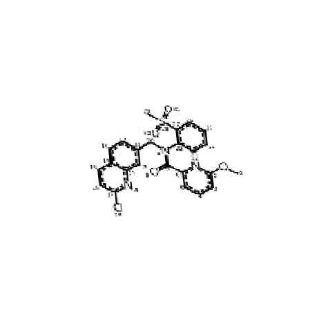 COc1cccc(C(=O)N(Cc2ccc3ccc(Cl)nc3c2)c2ccccc2S(C)(=O)=O)n1